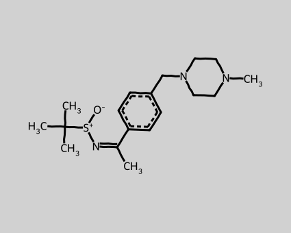 C/C(=N/[S+]([O-])C(C)(C)C)c1ccc(CN2CCN(C)CC2)cc1